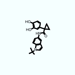 CC(C)(C)n1ccc2cc(NC(=O)C3(c4ccc(O)c(O)c4)CC3)ccc21